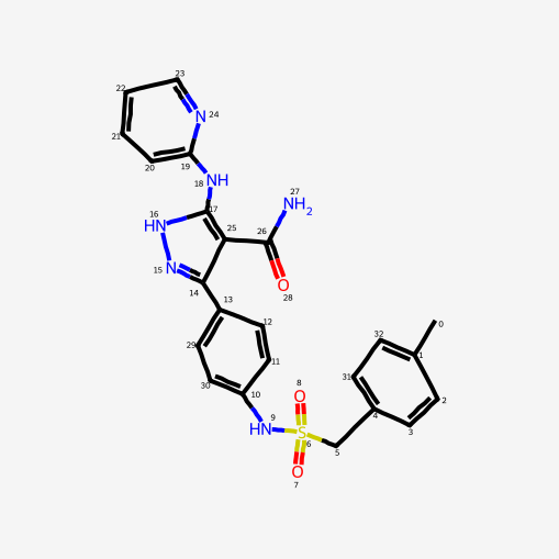 Cc1ccc(CS(=O)(=O)Nc2ccc(-c3n[nH]c(Nc4ccccn4)c3C(N)=O)cc2)cc1